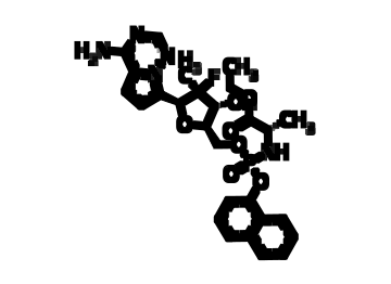 CCOC(=O)[C@H](C)NP(=O)(OC[C@H]1O[C@@H](c2ccc3c(N)ncnn23)[C@](C)(F)[C@@H]1O)Oc1cccc2ccccc12